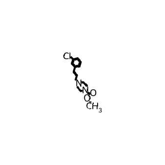 CCOC(=O)N1CCN(CC=Cc2cccc(Cl)c2)CC1